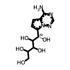 Nc1ncnn2c([C@H](O)C(O)C(O)C(O)CO)ccc12